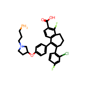 O=C(O)c1ccc2c(c1F)CCCC(c1ccc(F)cc1Cl)=C2c1ccc(OC2CCN(CCCP)C2)cc1